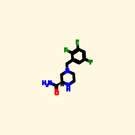 NC(=O)[C@@H]1CN(Cc2cc(F)cc(F)c2F)CCN1